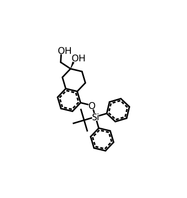 CC(C)(C)[Si](Oc1cccc2c1CC[C@@](O)(CO)C2)(c1ccccc1)c1ccccc1